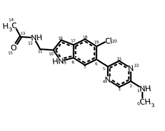 CNc1cnc(-c2cc3[nH]c(CNC(C)=O)cc3cc2Cl)cn1